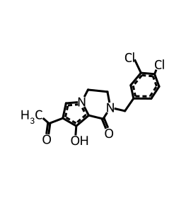 CC(=O)c1cn2c(c1O)C(=O)N(Cc1ccc(Cl)c(Cl)c1)CC2